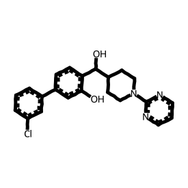 Oc1cc(-c2cccc(Cl)c2)ccc1C(O)C1CCN(c2ncccn2)CC1